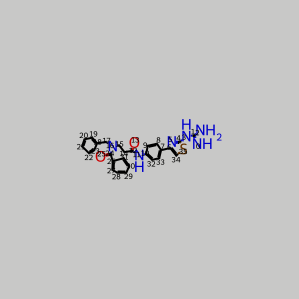 N=C(N)Nc1nc(-c2ccc(NC(=O)CCN(Cc3ccccc3)C(=O)c3ccccc3)cc2)cs1